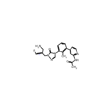 CC(=O)Nc1cc(-c2cccc(-n3cnn(C/C(=C/F)CN)c3=O)c2C)ccn1